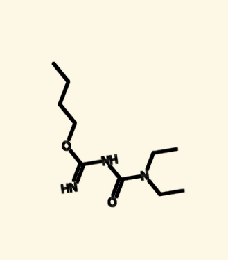 CCCCOC(=N)NC(=O)N(CC)CC